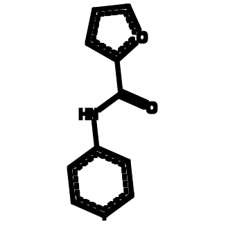 O=C(Nc1cc[c]cc1)c1ccco1